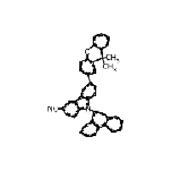 CC1(C)c2ccccc2Oc2ccc(-c3ccc4c(c3)c3cc(C#N)ccc3n4-c3cc4ccccc4c4ccccc34)cc21